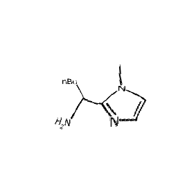 CCCCC(N)c1nccn1C